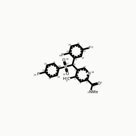 CNC(=O)c1cc(C)c(C(c2cc(F)ccc2F)S(=O)(=O)c2ccc(F)cc2)cn1